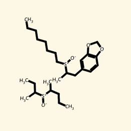 CCCC(C)[S+]([O-])C(C)CC.CCCCCCCC[S+]([O-])C(C)Cc1ccc2c(c1)OCO2